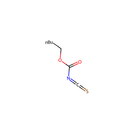 CCCCCOC(=O)N=C=S